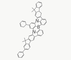 CC1(C)C2=Cc3c(c4cccc5c4n3-c3cc(C4C=CC=CC4)cc4c3B5c3cccc5c6cc7c(cc6n-4c35)C(C)(C)c3cc(-c4ccccc4)ccc3-7)CC2c2ccccc21